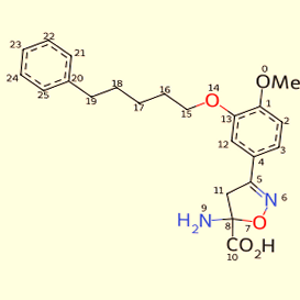 COc1ccc(C2=NOC(N)(C(=O)O)C2)cc1OCCCCCc1ccccc1